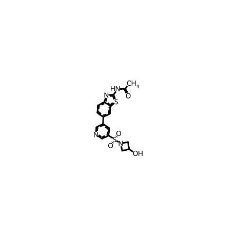 CC(=O)Nc1nc2ccc(-c3cncc(S(=O)(=O)N4CC(O)C4)c3)cc2s1